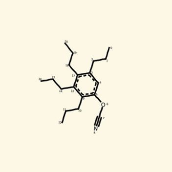 CCCc1cc(OC#N)c(CCC)c(CCC)c1CCC